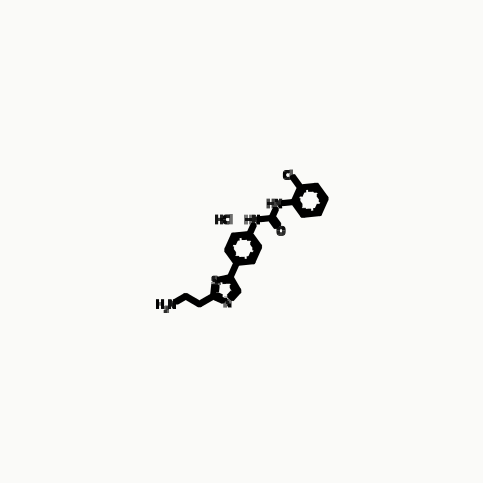 Cl.NCCc1ncc(-c2ccc(NC(=O)Nc3ccccc3Cl)cc2)s1